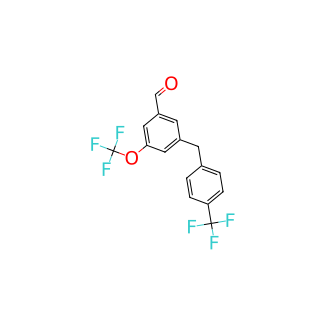 O=Cc1cc(Cc2ccc(C(F)(F)F)cc2)cc(OC(F)(F)F)c1